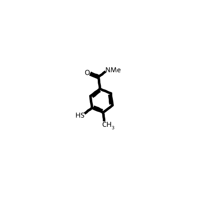 CNC(=O)c1ccc(C)c(S)c1